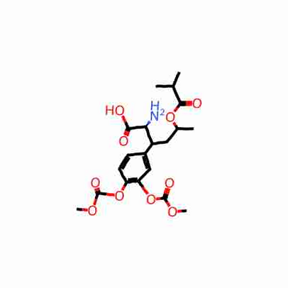 COC(=O)Oc1ccc(C(CC(C)OC(=O)C(C)C)[C@H](N)C(=O)O)cc1OC(=O)OC